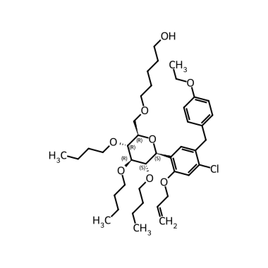 C=CCOc1cc(Cl)c(Cc2ccc(OCC)cc2)cc1[C@@H]1O[C@H](COCCCCCO)[C@@H](OCCCC)[C@H](OCCCC)[C@H]1OCCCC